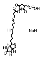 O=C1N[C@H]2CSC(CCCCNCCSSCCC(=O)ON3C(=O)CC(SOOO)C3=O)[C@H]2N1.[NaH]